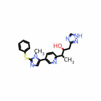 CC(c1ccc(-c2cnc(Sc3ccccc3)n2C)cn1)C(O)Cc1nc[nH]n1